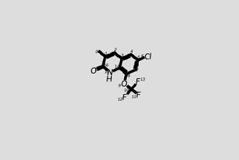 Cc1cc2cc(Cl)cc(OC(F)(F)F)c2[nH]c1=O